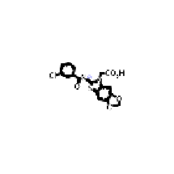 O=C(O)Cn1/c(=N/C(=O)c2cccc(Cl)c2)sc2cc3c(cc21)OCO3